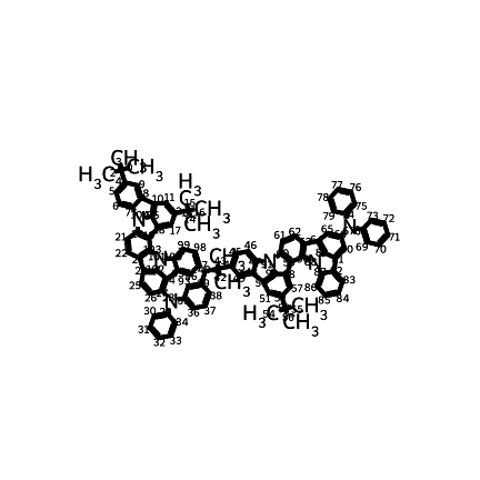 CC(C)(C)c1ccc2c(c1)c1cc(C(C)(C)C)cc3c4c(ccc5c6ccc(N(c7ccccc7)c7cccc(CC(C)(C)c8ccc9c(c8)c8cc(C(C)(C)C)cc%10c%11c(ccc%12c%13cc(N(c%14ccccc%14)c%14ccccc%14)cc%14c%15ccccc%15n(c%14%13)c%12%11)n9c8%10)c7)c7c8ccccc8n(c67)c54)n2c13